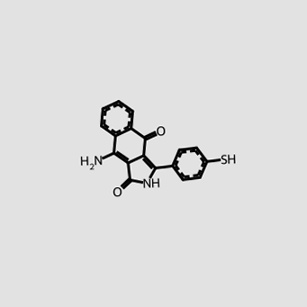 NC1=C2C(=O)NC(c3ccc(S)cc3)=C2C(=O)c2ccccc21